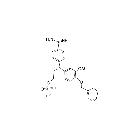 CCCS(=O)(=O)NCCN(c1ccc(C(=N)N)cc1)c1ccc(OCc2ccccc2)c(OC)c1